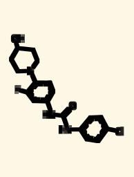 O=C(Nc1ccc(Cl)cc1)Nc1ccc(N2CCC(O)CC2)c(F)c1